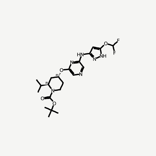 CC(C)[C@H]1C[C@H](Oc2cncc(Nc3cc(OC(F)F)[nH]n3)n2)CCN1C(=O)OC(C)(C)C